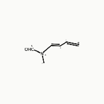 C=C/C=C/N(C)C=O